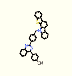 N#Cc1ccc(-c2nc(-c3ccc(Cn4c5ccccc5c5ccc6c7ccccc7sc6c54)cc3)nc3ccccc23)cc1